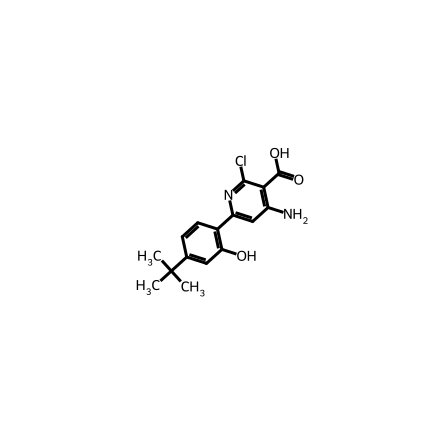 CC(C)(C)c1ccc(-c2cc(N)c(C(=O)O)c(Cl)n2)c(O)c1